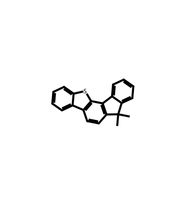 CC1(C)c2ccccc2-c2c1ccc1c2sc2ccccc21